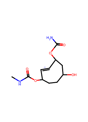 CNC(=O)OC1/C=C/C(OC(N)=O)CC(O)CC1